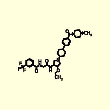 CCO[C@@H]1CN(C2CCC(c3ccc(C(=O)N4CCN(C)CC4)cc3)CC2)C[C@@H]1NC(=O)CNC(=O)c1cccc(C(F)(F)F)c1